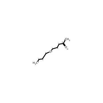 CCCCOCCCC(C)=O